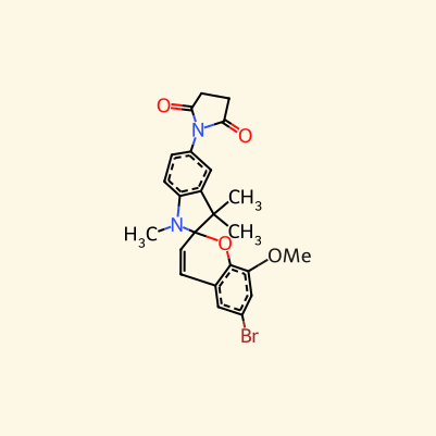 COc1cc(Br)cc2c1OC1(C=C2)N(C)c2ccc(N3C(=O)CCC3=O)cc2C1(C)C